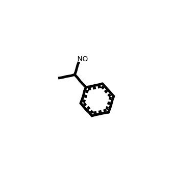 CC(N=O)c1ccccc1